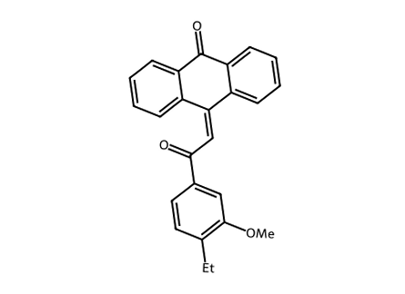 CCc1ccc(C(=O)C=C2c3ccccc3C(=O)c3ccccc32)cc1OC